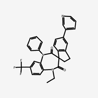 CCN1C(=O)C2(CCc3cc(-c4cccnc4)ccc32)C(=O)N(c2ccccc2)c2cc(C(F)(F)F)ccc21